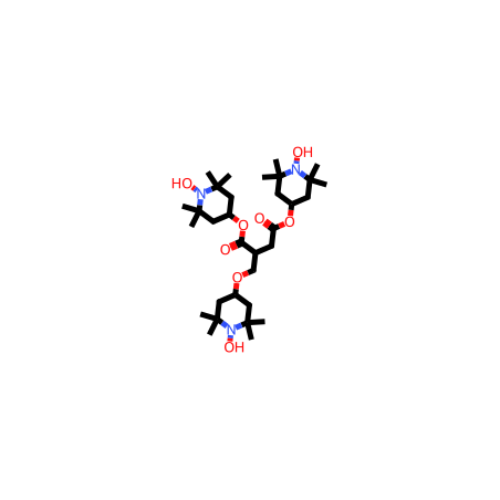 CC1(C)CC(OCC(CC(=O)OC2CC(C)(C)N(O)C(C)(C)C2)C(=O)OC2CC(C)(C)N(O)C(C)(C)C2)CC(C)(C)N1O